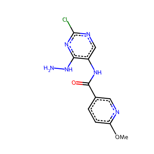 COc1ccc(C(=O)Nc2cnc(Cl)nc2NN)cn1